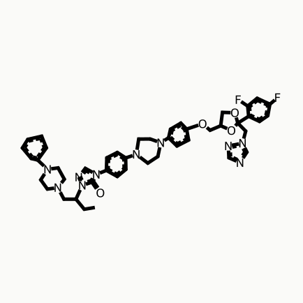 CCC(CN1CCN(c2ccccc2)CC1)n1ncn(-c2ccc(N3CCN(c4ccc(OCC5COC(Cn6cncn6)(c6ccc(F)cc6F)O5)cc4)CC3)cc2)c1=O